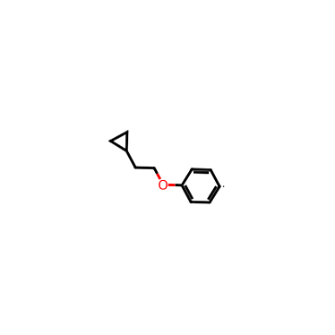 [c]1ccc(OCCC2CC2)cc1